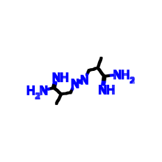 CC(C/N=N/CC(C)C(=N)N)C(=N)N